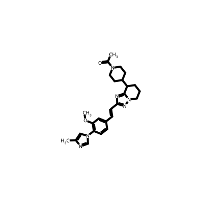 COc1cc(/C=C/c2nc3n(n2)CCCC3C2CCN(C(C)=O)CC2)ccc1-n1cnc(C)c1